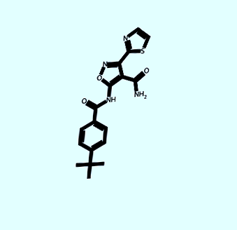 CC(C)(C)c1ccc(C(=O)Nc2onc(-c3nccs3)c2C(N)=O)cc1